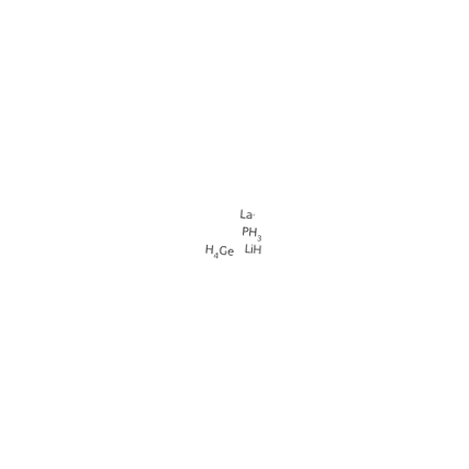 P.[GeH4].[La].[LiH]